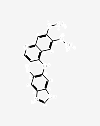 COc1cc2nccc(Oc3cc4scnc4cc3F)c2cc1OC